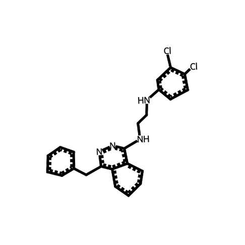 Clc1ccc(NCCNc2nnc(Cc3ccccc3)c3ccccc23)cc1Cl